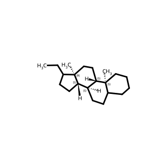 CCC1CC[C@H]2[C@@H]3CCC4CCCC[C@]4(C)[C@H]3CC[C@]12C